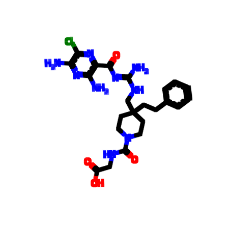 N/C(=N\C(=O)c1nc(Cl)c(N)nc1N)NCC1(CCc2cc#ccc2)CCN(C(=O)NCC(=O)O)CC1